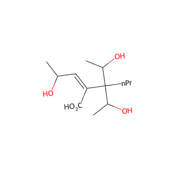 CCCC(C(=CC(C)O)C(=O)O)(C(C)O)C(C)O